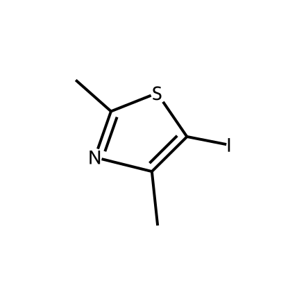 Cc1nc(C)c(I)s1